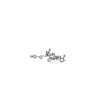 Cc1ccc(CNc2nc3c(F)nn(CCOCCO)c3c(=O)[nH]2)cc1F